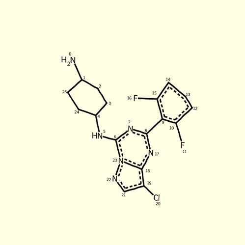 NC1CCC(Nc2nc(-c3c(F)cccc3F)nc3c(Cl)cnn23)CC1